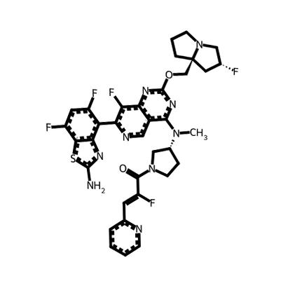 CN(c1nc(OC[C@@]23CCCN2C[C@H](F)C3)nc2c(F)c(-c3c(F)cc(F)c4sc(N)nc34)ncc12)[C@@H]1CCN(C(=O)/C(F)=C/c2ccccn2)C1